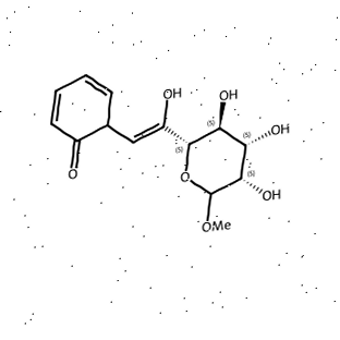 COC1O[C@H](C(O)=CC2C=CC=CC2=O)[C@@H](O)[C@H](O)[C@@H]1O